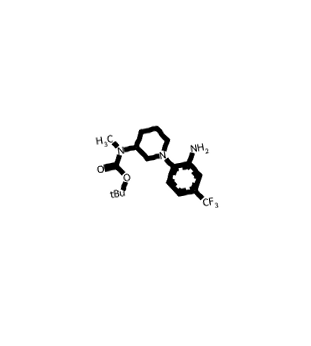 CN(C(=O)OC(C)(C)C)C1CCCN(c2ccc(C(F)(F)F)cc2N)C1